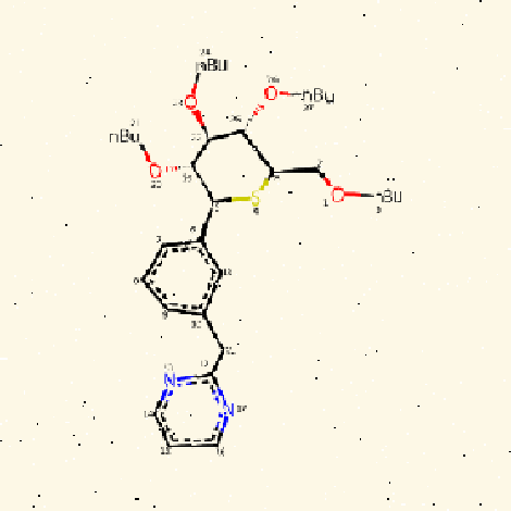 CCCCOC[C@H]1S[C@@H](c2cccc(Cc3ncccn3)c2)[C@H](OCCCC)[C@@H](OCCCC)[C@@H]1OCCCC